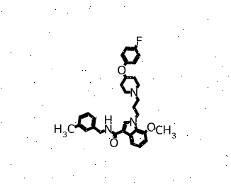 COc1cccc2c(C(=O)NCc3cccc(C)c3)cn(CCCN3CCC(Oc4ccc(F)cc4)CC3)c12